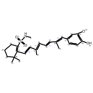 CNS(=O)(=O)C1=C(/C=C/C(C)=C/C=C/C(C)=C/c2ccc(O)c(Cl)c2)C(C)(C)CCC1